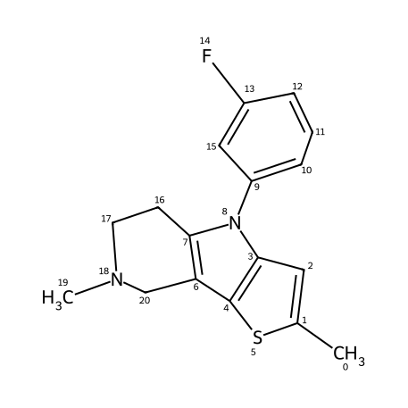 Cc1cc2c(s1)c1c(n2-c2cccc(F)c2)CCN(C)C1